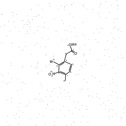 COC(=O)Cc1ccc(C)c([N+](=O)[O-])c1Br